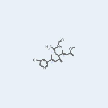 C=C(/C=C(\C)C(/N=C(/N)N(C)C=O)C(=C)/C=C(\C)c1cncc(Cl)c1)OC